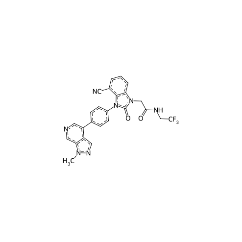 Cn1ncc2c(-c3ccc(-n4c(=O)n(CC(=O)NCC(F)(F)F)c5cccc(C#N)c54)cc3)cncc21